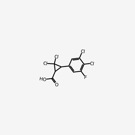 O=C(O)C1C(c2cc(F)c(Cl)c(Cl)c2)C1(Cl)Cl